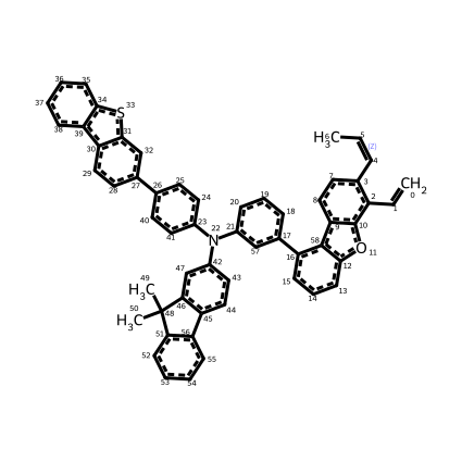 C=Cc1c(/C=C\C)ccc2c1oc1cccc(-c3cccc(N(c4ccc(-c5ccc6c(c5)sc5ccccc56)cc4)c4ccc5c(c4)C(C)(C)c4ccccc4-5)c3)c12